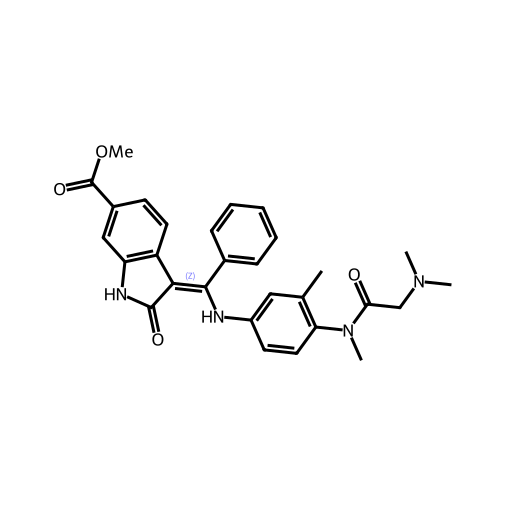 COC(=O)c1ccc2c(c1)NC(=O)/C2=C(\Nc1ccc(N(C)C(=O)CN(C)C)c(C)c1)c1ccccc1